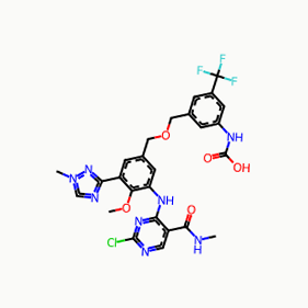 CNC(=O)c1cnc(Cl)nc1Nc1cc(COCc2cc(NC(=O)O)cc(C(F)(F)F)c2)cc(-c2ncn(C)n2)c1OC